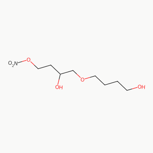 O=[N+]([O-])OCCC(O)COCCCCO